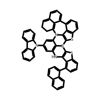 C1=c2cccc3c2c(n2c4c(sc5cccc3c54)B3c4sc5cccc(-c6cccc7ccccc67)c5c4Nc4cc(-n5c6ccccc6c6ccccc65)cc-2c43)CC1